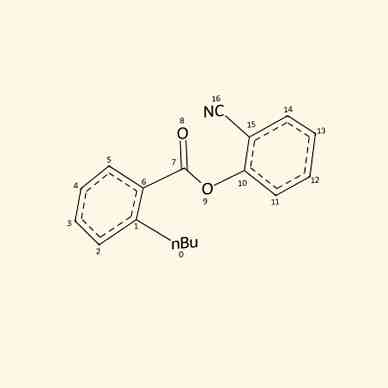 CCCCc1ccccc1C(=O)Oc1ccccc1C#N